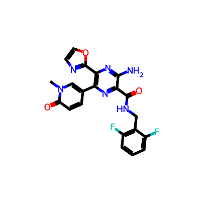 Cn1cc(-c2nc(C(=O)NCc3c(F)cccc3F)c(N)nc2-c2ncco2)ccc1=O